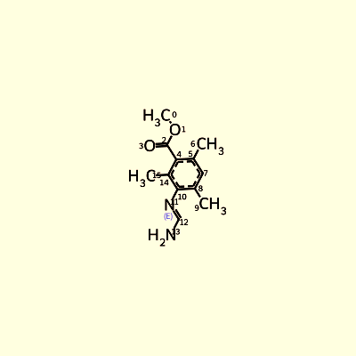 COC(=O)c1c(C)cc(C)c(/N=C/N)c1C